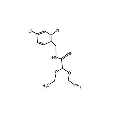 CCOC(OCC)C(=N)NCc1ccc(Cl)cc1Cl